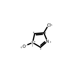 [O-][s+]1cnc(Cl)c1